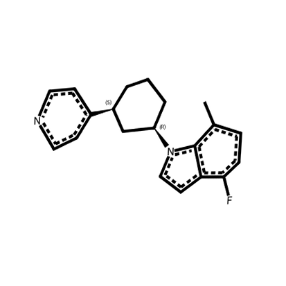 Cc1ccc(F)c2ccn([C@@H]3CCC[C@H](c4ccncc4)C3)c12